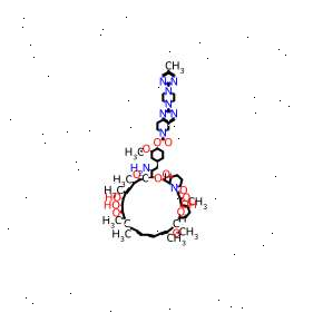 CO[C@H]1C[C@@H]2CC[C@@H](C)[C@@](O)(O2)C(=O)C(=O)N2CCCC[C@H]2C(=O)O[C@H]([C@H](N)C[C@@H]2CC[C@@H](OC(=O)N3CCc4nc(N5CCN(c6ncc(C)cn6)CC5)ncc4C3)[C@H](OC)C2)CC(=O)[C@H](C)/C=C(\C)[C@@H](O)[C@@H](O)C(=O)[C@H](C)C[C@H](C)/C=C/C=C/C=C/1C